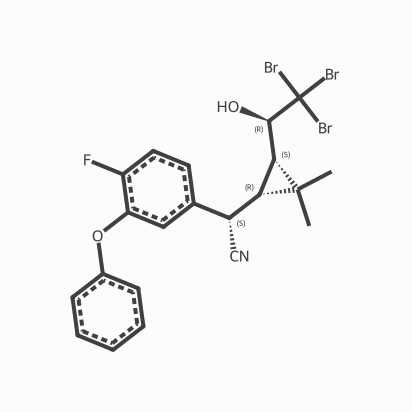 CC1(C)[C@@H]([C@@H](O)C(Br)(Br)Br)[C@H]1[C@H](C#N)c1ccc(F)c(Oc2ccccc2)c1